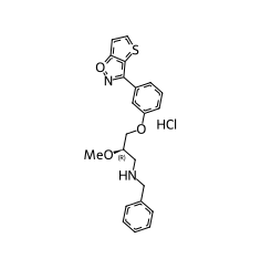 CO[C@H](CNCc1ccccc1)COc1cccc(-c2noc3ccsc23)c1.Cl